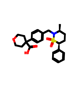 C[C@H]1CC[C@H](c2ccccc2)S(=O)(=O)N1Cc1ccc(C2(C(=O)O)CCOCC2)cc1